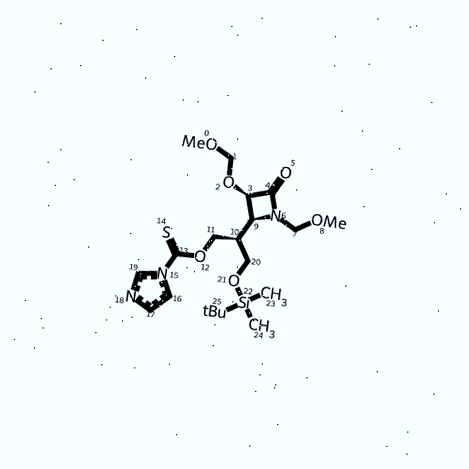 COCO[C@H]1C(=O)N(COC)[C@H]1[C@H](COC(=S)n1ccnc1)CO[Si](C)(C)C(C)(C)C